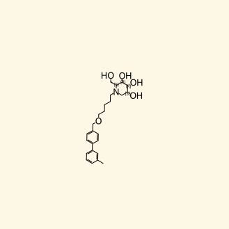 Cc1cccc(-c2ccc(COCCCCCN3C[C@H](O)[C@@H](O)[C@H](O)[C@@H]3CO)cc2)c1